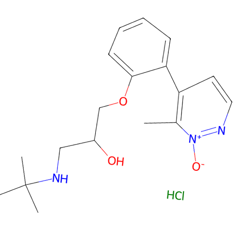 Cc1c(-c2ccccc2OCC(O)CNC(C)(C)C)ccn[n+]1[O-].Cl